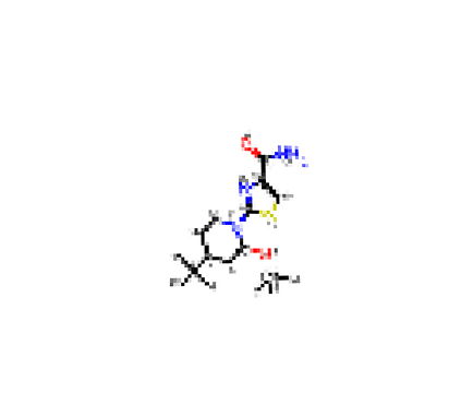 C[SiH](C)OC1CC(C(C)(C)C)CCN1c1nc(C(N)=O)cs1